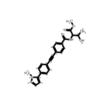 COC(=O)C(NC(=O)c1ccc(C#Cc2ccc(-c3ccnn3C)cc2)cc1)C(C)O